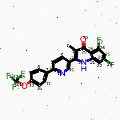 Cc1c(-c2ccc(-c3ccc(OC(F)(F)F)cc3)nc2)[nH]c2cc(F)cc(F)c2c1=O